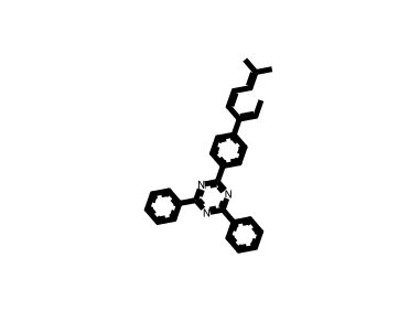 C/C=C(\C=C/C=C(C)C)c1ccc(-c2nc(-c3ccccc3)nc(-c3ccccc3)n2)cc1